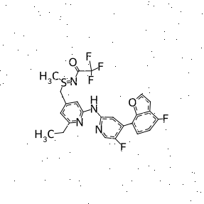 CCc1cc(CS(C)=NC(=O)C(F)(F)F)cc(Nc2cc(-c3ccc(F)c4ccoc34)c(F)cn2)n1